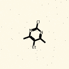 CCc1c(C)nc(Cl)nc1C